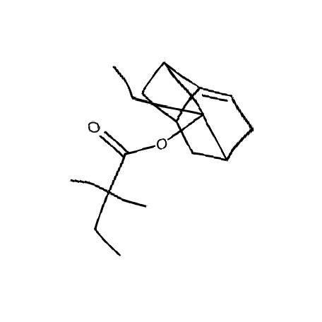 CCC(C)(C)C(=O)OC1(CC)C2CC=C3C(C2)CC31